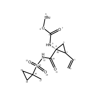 C=CC1C[C@]1(NC(=O)OC(C)(C)C)C(=O)NS(=O)(=O)C1(C)CC1